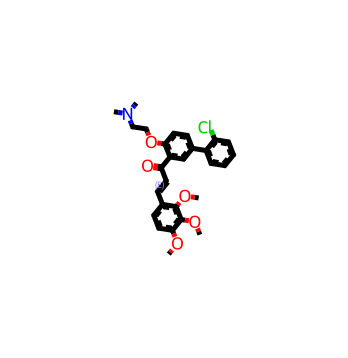 COc1ccc(/C=C/C(=O)c2cc(-c3ccccc3Cl)ccc2OCCN(C)C)c(OC)c1OC